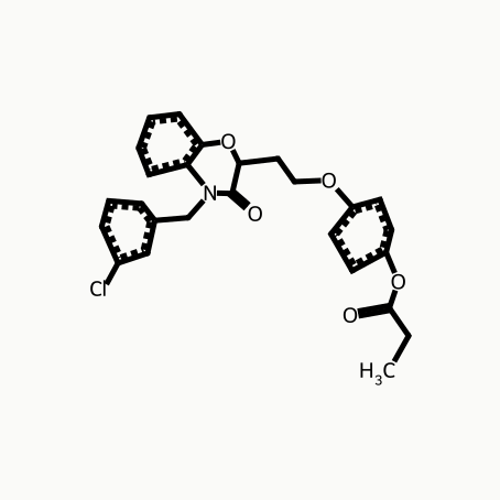 CCC(=O)Oc1ccc(OCCC2Oc3ccccc3N(Cc3cccc(Cl)c3)C2=O)cc1